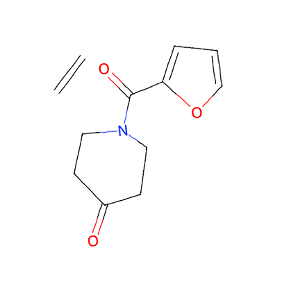 C=C.O=C1CCN(C(=O)c2ccco2)CC1